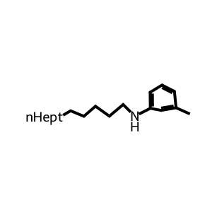 CCCCCCCCCCCCNc1cccc(C)c1